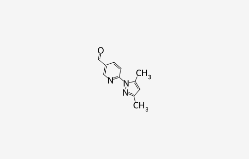 Cc1cc(C)n(-c2ccc(C=O)cn2)n1